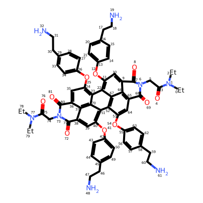 CCN(CC)C(=O)CN1C(=O)c2cc(Oc3ccc(CCN)cc3)c3c4c(Oc5ccc(CCN)cc5)cc5c6c(cc(Oc7ccc(CCN)cc7)c(c7c(Oc8ccc(CCN)cc8)cc(c2c37)C1=O)c64)C(=O)N(CC(=O)N(CC)CC)C5=O